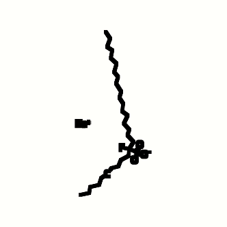 CCCCCCCCCCCCCCCCCCC(F)(CCCCCCCCCC)S(=O)(=O)[O-].[Na+]